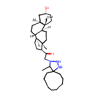 COC[C@]12CC[C@@H](O)C[C@@H]1CC[C@H]1[C@@H]3CC[C@H](C(=O)CN4NNC5(CCCCCCCC5)C4C)[C@@]3(C)CC[C@@H]12